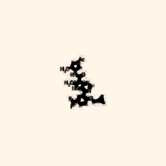 CC(=O)N1C[C@H](C)[C@H](NC(=O)c2c(C)[nH]c3c(-c4cc(C(F)F)ccc4OCC4CC4)ncnc23)C1